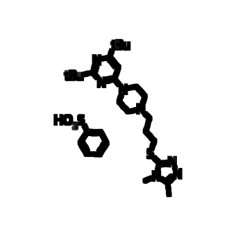 Cc1nnc(SCCCN2CCN(c3cc(C(C)(C)C)nc(C(C)(C)C)n3)CC2)n1C.O=S(=O)(O)c1ccccc1